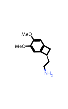 COc1cc2c(cc1OC)[C@H](CCN)C2